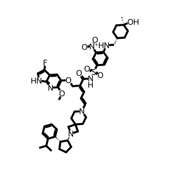 COc1nc2[nH]cc(F)c2cc1OC/C(=C\C=C\N1CCC2(CC1)CN([C@@H]1CCC[C@@H]1c1ccccc1C(C)C)C2)C(=O)NS(=O)(=O)c1ccc(NC[C@H]2CC[C@](C)(O)CC2)c([N+](=O)[O-])c1